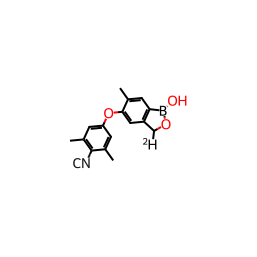 [2H]C1OB(O)c2cc(C)c(Oc3cc(C)c([N+]#[C-])c(C)c3)cc21